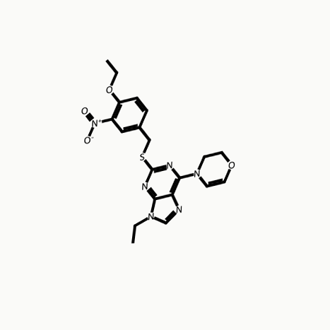 CCOc1ccc(CSc2nc(N3C=COCC3)c3ncn(CC)c3n2)cc1[N+](=O)[O-]